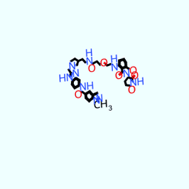 Cn1ncc2cc(C(=O)Nc3ccc4[nH]c(CN5CCC(CCNC(=O)CCOCCNc6cccc7c6C(=O)N(C6CCC(=O)NC6=O)C7=O)C5)nc4c3)ccc21